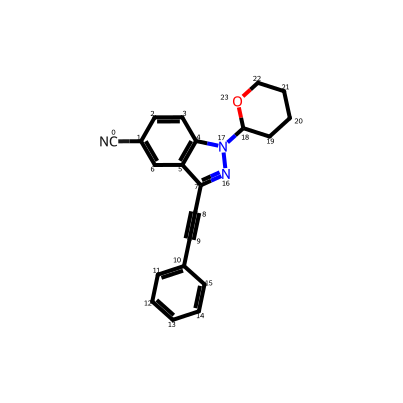 N#Cc1ccc2c(c1)c(C#Cc1ccccc1)nn2C1CCCCO1